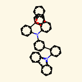 c1ccc(-c2ccccc2N(c2cccc(-c3ccccc3-n3c4ccccc4c4ccccc43)c2)c2cccc3c2oc2ccccc23)cc1